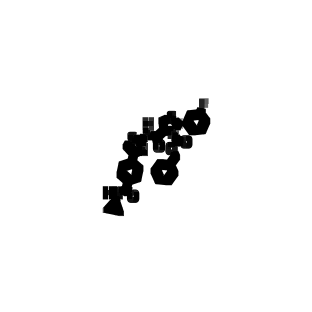 O=C(NC1CC1)c1ccc(-c2csc(NC(=O)C3CS[C@H](c4cccc(F)c4)N3C(=O)OCc3ccccc3)n2)cc1